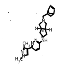 Cc1nn(C)cc1-c1ccc(N[C@H]2C[C@@H]3CN(CC4CC5C=CC4C5)C[C@@H]3C2)nn1